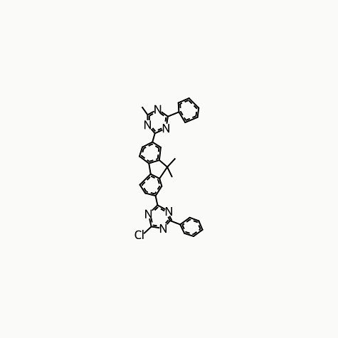 Cc1nc(-c2ccccc2)nc(-c2ccc3c(c2)C(C)(C)c2cc(-c4nc(Cl)nc(-c5ccccc5)n4)ccc2-3)n1